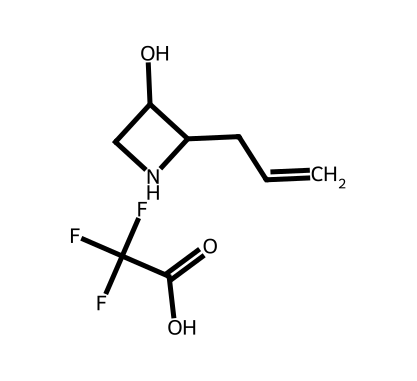 C=CCC1NCC1O.O=C(O)C(F)(F)F